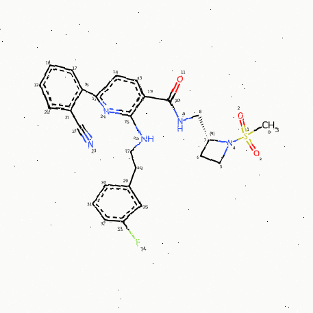 CS(=O)(=O)N1CC[C@@H]1CNC(=O)c1ccc(-c2ccccc2C#N)nc1NCCc1cccc(F)c1